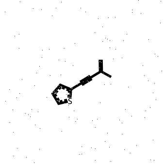 C=C(C)C#Cc1cccs1